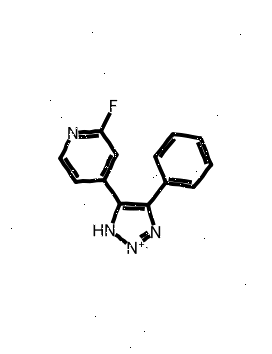 Fc1cc(C2=C(c3ccccc3)N=[N+]N2)ccn1